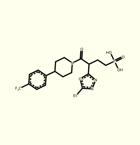 CCc1nnc(C(CCP(=O)(O)O)C(=O)N2CCC(c3ccc(C(F)(F)F)cc3)CC2)o1